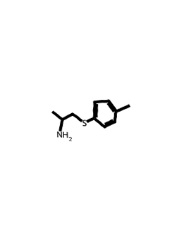 Cc1ccc(SCC(C)N)cc1